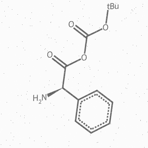 CC(C)(C)OC(=O)OC(=O)[C@H](N)c1ccccc1